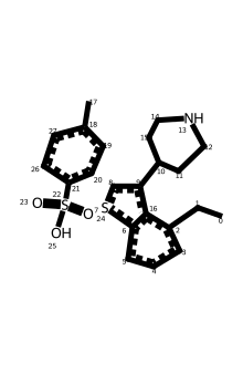 CCc1cccc2scc(C3CCNCC3)c12.Cc1ccc(S(=O)(=O)O)cc1